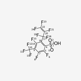 O=S(=O)(O)c1c(F)c(F)c(C(F)(F)F)c(F)c1C(F)(F)C(F)=C(F)F